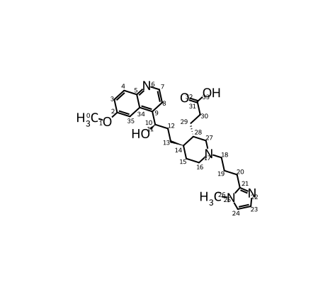 COc1ccc2nccc([C@H](O)CC[C@@H]3CCN(CCCc4nccn4C)C[C@H]3CCC(=O)O)c2c1